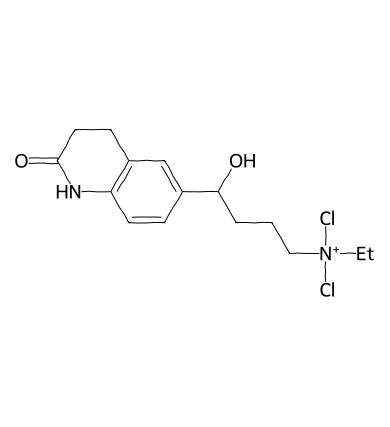 CC[N+](Cl)(Cl)CCCC(O)c1ccc2c(c1)CCC(=O)N2